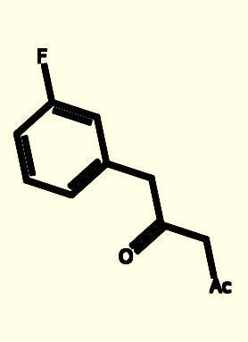 CC(=O)CC(=O)Cc1cccc(F)c1